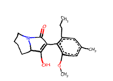 CCc1cc(C)cc(OC)c1C1=C(O)C2CCCN2C1=O